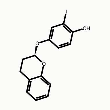 Oc1ccc(O[C@@H]2CCc3ccccc3O2)cc1I